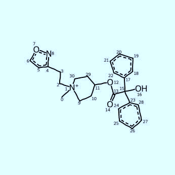 C[N+]1(CCc2ccon2)CCC(OC(=O)C(O)(c2ccccc2)c2ccccc2)CC1